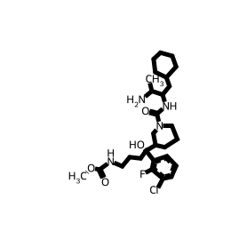 COC(=O)NCCCC(O)(c1cccc(Cl)c1F)C1CCCN(C(=O)NC(CC2CCCCC2)C(C)N)C1